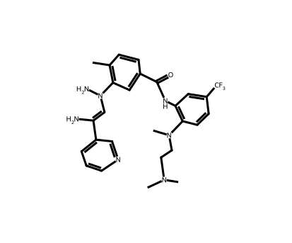 Cc1ccc(C(=O)Nc2cc(C(F)(F)F)ccc2N(C)CCN(C)C)cc1N(N)/C=C(\N)c1cccnc1